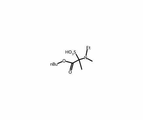 CCCCOC(=O)C(C)(N(C)CC)S(=O)(=O)O